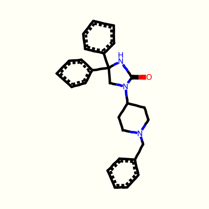 O=C1NC(c2ccccc2)(c2ccccc2)CN1C1CCN(Cc2ccccc2)CC1